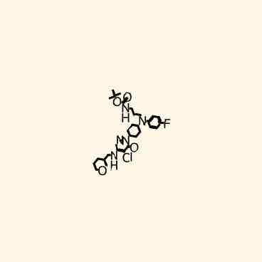 CC(C)(C)OC(=O)NCCCN(c1ccc(F)cc1)C1CCC(n2ncc(NCC3CCCOC3)c(Cl)c2=O)CC1